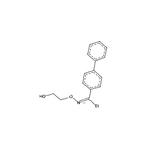 CC/C(=N/OCCO)c1ccc(-c2ccccc2)cc1